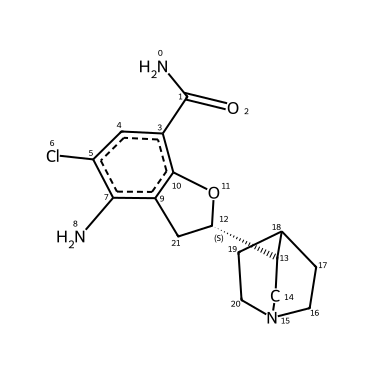 NC(=O)c1cc(Cl)c(N)c2c1O[C@H](C1CN3CCC1CC3)C2